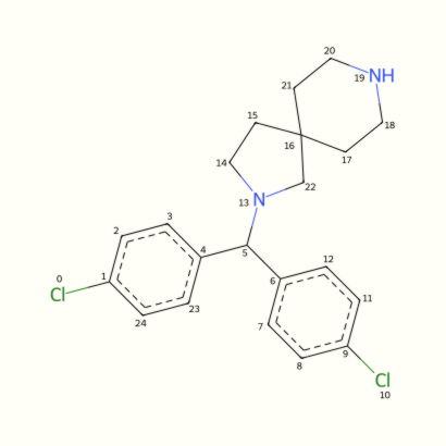 Clc1ccc(C(c2ccc(Cl)cc2)N2CCC3(CCNCC3)C2)cc1